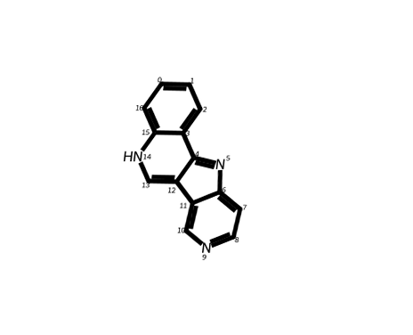 c1ccc2c3nc4ccncc4c-3c[nH]c2c1